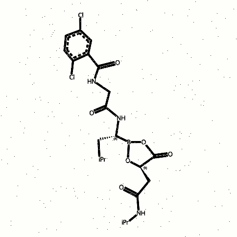 CC(C)C[C@H](NC(=O)CNC(=O)c1cc(Cl)ccc1Cl)B1OC(=O)[C@@H](CC(=O)NC(C)C)O1